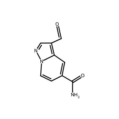 NC(=O)c1ccn2ncc(C=O)c2c1